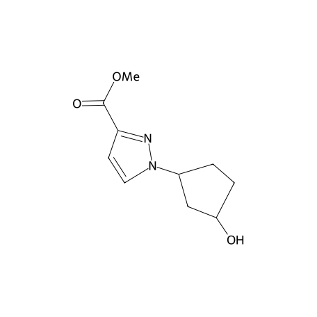 COC(=O)c1ccn(C2CCC(O)C2)n1